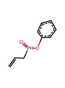 C=CC[PH](=O)Oc1ccccc1